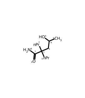 CCCC(CCC)(CC(C)O)C(N)=O